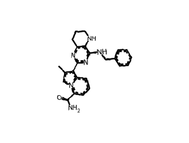 Cc1cn2c(C(N)=O)cccc2c1-c1nc2c(c(NCc3ccccc3)n1)NCCC2